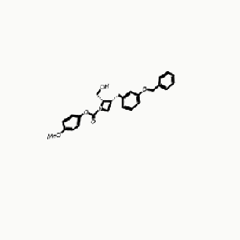 COc1ccc(OC(=O)N2C[C@@H](Cc3cccc(OCc4ccccc4)c3)[C@H]2CO)cc1